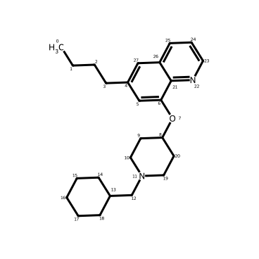 CCCCc1cc(OC2CCN(CC3CCCCC3)CC2)c2ncccc2c1